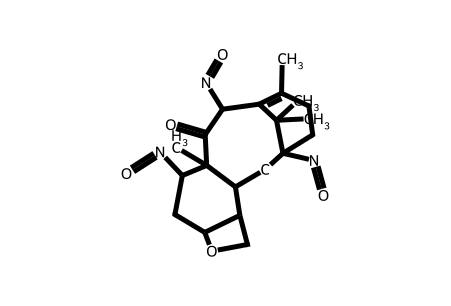 CC1=C2C(N=O)C(=O)C3(C)C(N=O)CC4OCC4C3CC(N=O)(CC1)C2(C)C